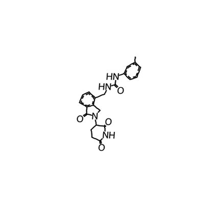 Cc1cccc(NC(=O)NCc2cccc3c2CN(C2CCC(=O)NC2=O)C3=O)c1